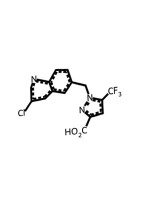 O=C(O)c1cc(C(F)(F)F)n(Cc2ccc3ncc(Cl)cc3c2)n1